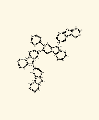 c1ccc(-c2cc3c(cc2-c2ccc4c5ccccc5n(-c5ccc6oc7ccccc7c6n5)c4c2)c2ccccc2n3-c2ccc3oc4ccccc4c3c2)cc1